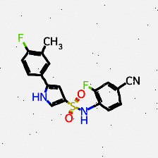 Cc1cc(-c2cc(S(=O)(=O)Nc3ccc(C#N)cc3F)c[nH]2)ccc1F